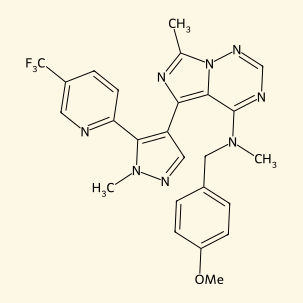 COc1ccc(CN(C)c2ncnn3c(C)nc(-c4cnn(C)c4-c4ccc(C(F)(F)F)cn4)c23)cc1